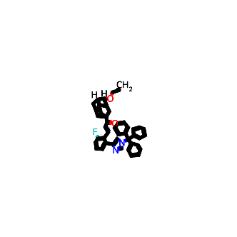 C=CCO[C@H]1C2CC3C[C@@H]1CC(C(=O)/C=C/c1c(F)cccc1-c1cn(C(c4ccccc4)(c4ccccc4)c4ccccc4)cn1)(C3)C2